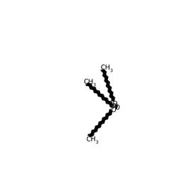 CCCCCCCCCCCCCCOP(=O)(CCCCCCCCCCCCCC)OCCCCCCCCCCCCCC